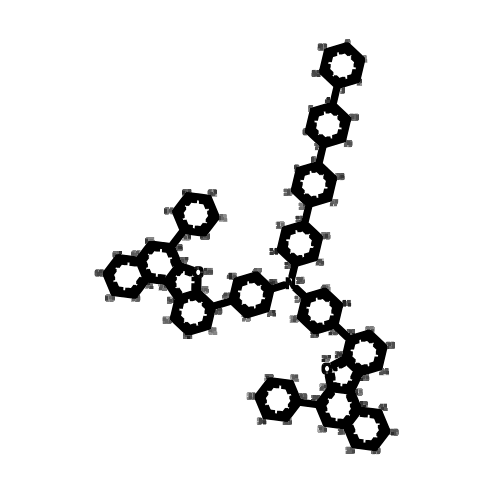 c1ccc(-c2ccc(-c3ccc(-c4ccc(N(c5ccc(-c6cccc7c6oc6c(-c8ccccc8)cc8ccccc8c67)cc5)c5ccc(-c6cccc7c6oc6c(-c8ccccc8)cc8ccccc8c67)cc5)cc4)cc3)cc2)cc1